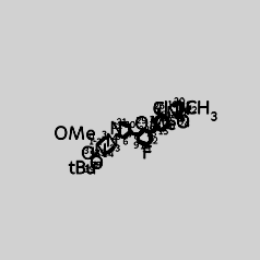 COC[C@@H]1CN(c2cc(-c3cc(F)cc(-c4ccc(-n5ccn(C)c5=O)c(Cl)c4)c3OC)ccn2)CCN1C(=O)OC(C)(C)C